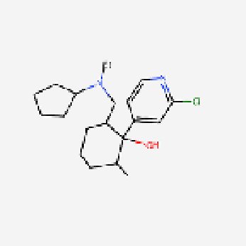 CCN(CC1CCCC(C)C1(O)c1ccnc(Cl)c1)C1CCCC1